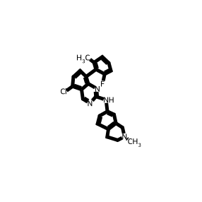 Cc1cccc(F)c1-c1ccc(Cl)c2cnc(Nc3ccc4c(c3)CN(C)CC4)nc12